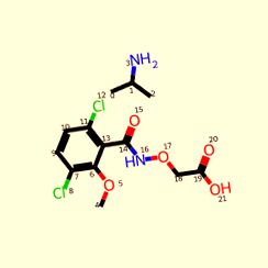 CC(C)N.COc1c(Cl)ccc(Cl)c1C(=O)NOCC(=O)O